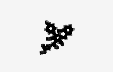 O=C(O)CNC(=O)c1c(O)c(-c2ccc(F)cc2)nn(Cc2ccccc2Cl)c1=O